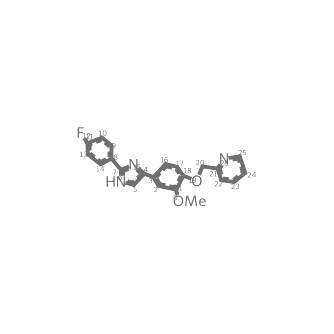 COc1cc(-c2c[nH]c(-c3ccc(F)cc3)n2)ccc1OCc1ccccn1